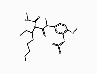 CCCCCC(CC)N(C(=O)C(C)c1ccc(OC)c(N=S(=O)=O)c1)C(=S)NC